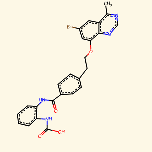 Cc1ncnc2c(OCCc3ccc(C(=O)Nc4ccccc4NC(=O)O)cc3)cc(Br)cc12